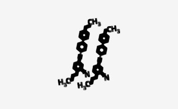 CCCCc1ccc(C#C[C@H]2CC[C@H](c3ccc(CC)cc3)CC2)cc1C#N.CCCCc1ccc(C#C[C@H]2CC[C@H](c3ccc(CCC)cc3)CC2)cc1C#N